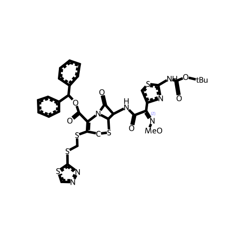 CO/N=C(\C(=O)NC1C(=O)N2C(C(=O)OC(c3ccccc3)c3ccccc3)=C(SCSc3nncs3)CSC12)c1csc(NC(=O)OC(C)(C)C)n1